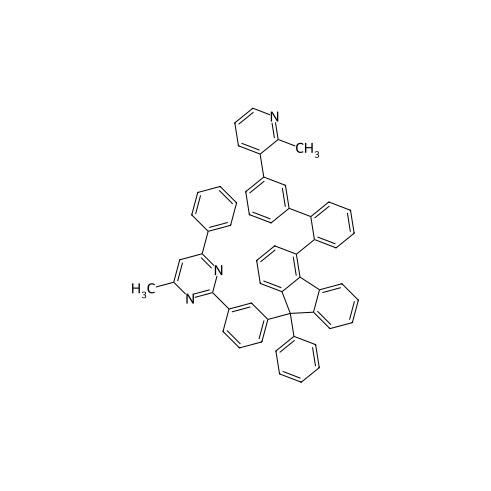 Cc1cc(-c2ccccc2)nc(-c2cccc(C3(c4ccccc4)c4ccccc4-c4c(-c5ccccc5-c5cccc(-c6cccnc6C)c5)cccc43)c2)n1